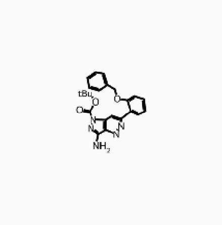 CC(C)(C)OC(=O)n1nc(N)c2nnc(-c3ccccc3OCc3ccccc3)cc21